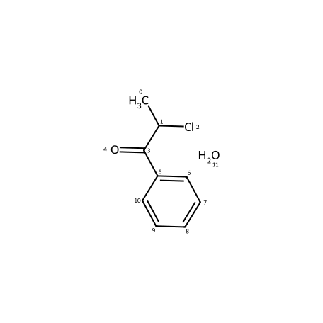 CC(Cl)C(=O)c1ccccc1.O